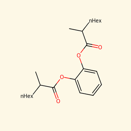 CCCCCCC(C)C(=O)Oc1ccccc1OC(=O)C(C)CCCCCC